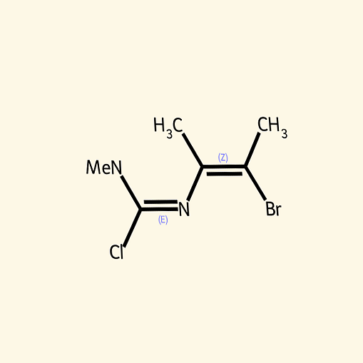 CN/C(Cl)=N\C(C)=C(\C)Br